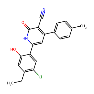 CCc1cc(O)c(-c2cc(-c3ccc(C)cc3)c(C#N)c(=O)[nH]2)cc1Cl